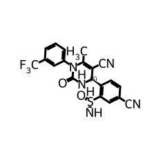 CC1=C(C#N)[C@@H](c2ccc(C#N)cc2[SH](=N)=O)NC(=O)N1c1cccc(C(F)(F)F)c1